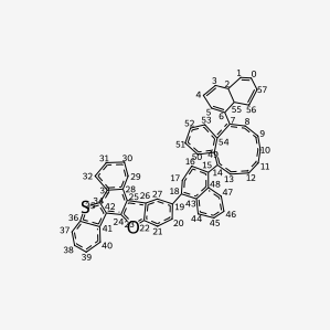 C1=CC2C=CC=C(c3ccccccc(-c4ccc(-c5ccc6oc7c(c6c5)c5ccccc5c5sc6ccccc6c75)c5ccccc45)c4ccccc34)C2C=C1